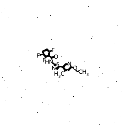 CCOc1cc(C)c(-c2cnc(NC(=O)c3c(F)ccc(F)c3F)s2)cn1